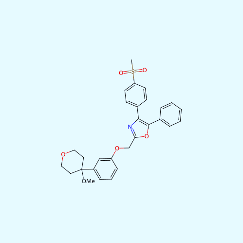 COC1(c2cccc(OCc3nc(-c4ccc(S(C)(=O)=O)cc4)c(-c4ccccc4)o3)c2)CCOCC1